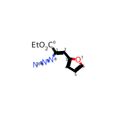 CCOC(=O)/C(=C/c1ccco1)N=[N+]=[N-]